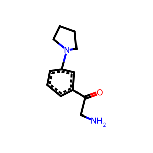 NCC(=O)c1cccc(N2CCCC2)c1